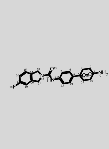 NC12CCC(c3ccc(NC(=O)N4Cc5ccc(F)cc5C4)cc3)(CC1)CC2